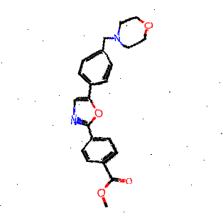 COC(=O)c1ccc(-c2ncc(-c3ccc(CN4CCOCC4)cc3)o2)cc1